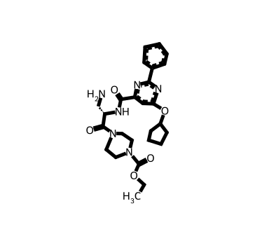 CCOC(=O)N1CCN(C(=O)[C@H](CN)NC(=O)c2cc(OC3CCCC3)nc(-c3ccccc3)n2)CC1